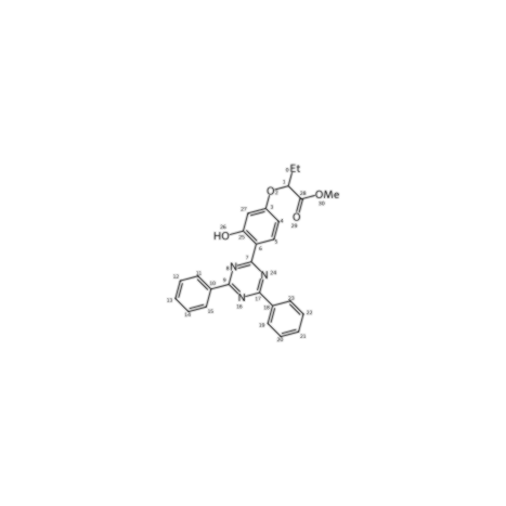 CCC(Oc1ccc(-c2nc(-c3ccccc3)nc(-c3ccccc3)n2)c(O)c1)C(=O)OC